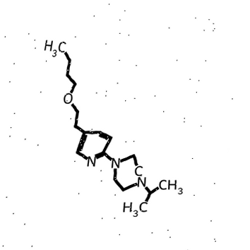 CCCCOCCc1ccc(N2CCN(C(C)C)CC2)nc1